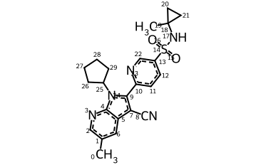 Cc1cnc2c(c1)c(C#N)c(-c1ccc(S(=O)(=O)NC3(C)CC3)cn1)n2C1CCCC1